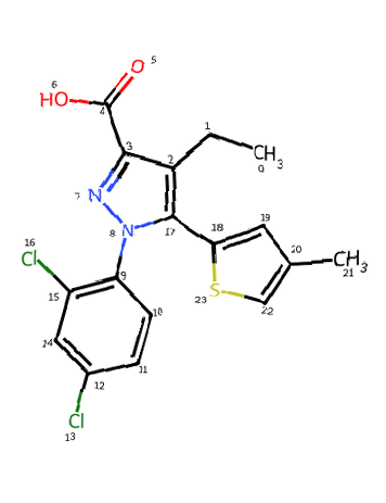 CCc1c(C(=O)O)nn(-c2ccc(Cl)cc2Cl)c1-c1cc(C)cs1